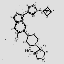 C[C@]1(N2CCC(c3cc4c(cnn4-c4cnn(C56CC(C5)C6)c4)cc3Cl)CC2)COC[C@H]1O